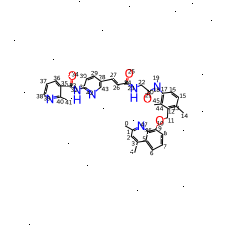 Cc1cc(C)c2cccc(OCc3c(C)ccc(N(C)C(=O)CNC(=O)/C=C/c4ccc(NC(=O)c5cccnc5C)nc4)c3C)c2n1